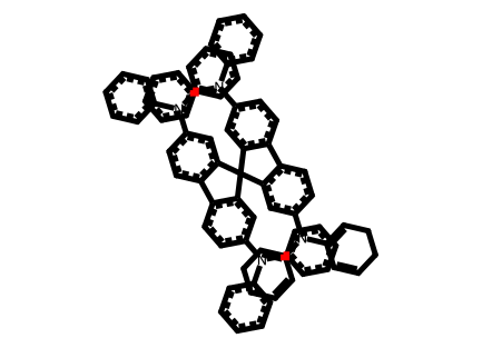 C1=CC(N(C2=CCCC=C2)c2ccc3c(c2)C2(c4cc(N(c5ccccc5)c5ccccc5)ccc4-3)c3cc(N(c4ccccc4)c4ccccc4)ccc3-c3ccc(N(c4ccccc4)c4ccccc4)cc32)=CCC1